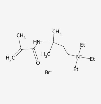 C=C(C)C(=O)NC(C)(C)CC[N+](CC)(CC)CC.[Br-]